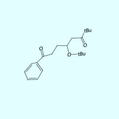 CC(C)(C)OC(CCC(=O)c1ccccc1)CC(=O)C(C)(C)C